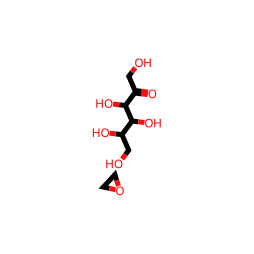 C1CO1.O=C(CO)C(O)C(O)C(O)CO